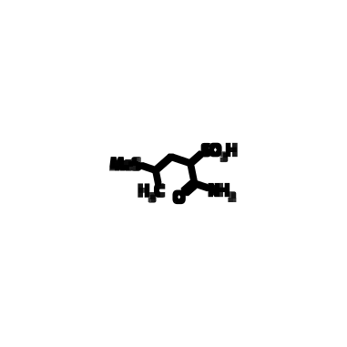 CSC(C)CC(C(N)=O)S(=O)(=O)O